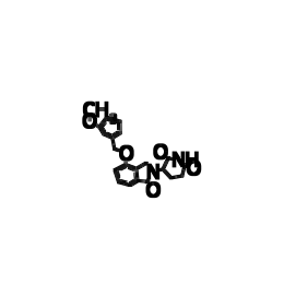 COc1cccc(COc2cccc3c2CN(C2CCC(=O)NC2=O)C3=O)c1